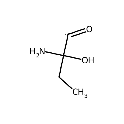 CCC(N)(O)[C]=O